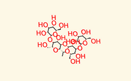 CC(C)[C@@H]1O[C@H](CO)[C@@H](O[C@@H]2O[C@H](CO)[C@@H](O)[C@H](O)[C@H]2O)[C@H](O)[C@H]1O[C@@H]1O[C@H](CO)[C@@H](O)[C@H](O[C@@H]2O[C@H](CO)[C@@H](O)[C@H](O)[C@H]2O)[C@H]1O